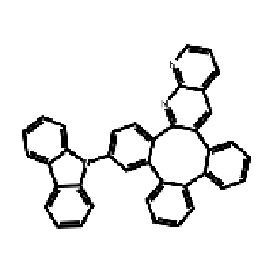 c1ccc2c(c1)-c1ccccc1-c1cc3cccnc3nc1-c1ccc(-n3c4ccccc4c4ccccc43)cc1-2